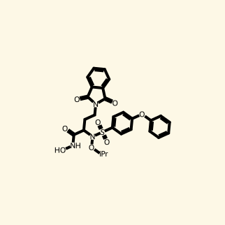 CC(C)ON(C(CCN1C(=O)c2ccccc2C1=O)C(=O)NO)S(=O)(=O)c1ccc(Oc2ccccc2)cc1